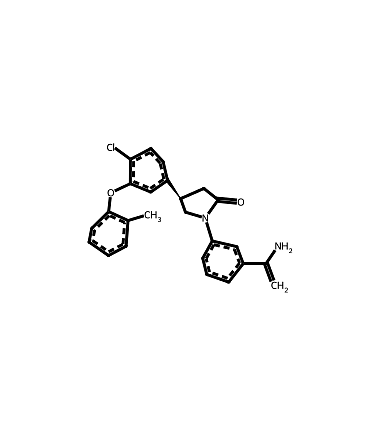 C=C(N)c1cccc(N2C[C@@H](c3ccc(Cl)c(Oc4ccccc4C)c3)CC2=O)c1